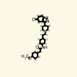 COC1CCC(CC(=O)NC2CCC(CCN3CCC(c4noc5ccc(Cl)cc45)CC3)CC2)CC1